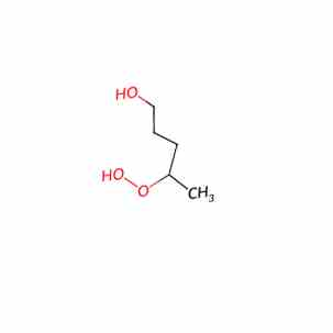 CC(CCCO)OO